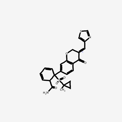 CC1(S(=O)(=O)C2(c3ccc4c(c3)OC/C(=C\c3cscn3)C4=O)C=CC=CC2C(N)=O)CC1